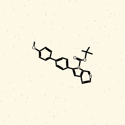 COc1ccc(-c2ccc(-c3cc4ccncc4n3C(=O)OC(C)(C)C)cc2)cc1